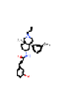 C=CCN1CC[C@@]2(c3cccc(OC)c3)C[C@H](NC(=O)C=Cc3cccc(O)c3)CC[C@]2(OC(C)=O)C1